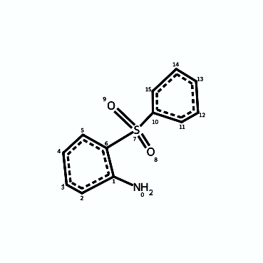 Nc1c[c]ccc1S(=O)(=O)c1ccccc1